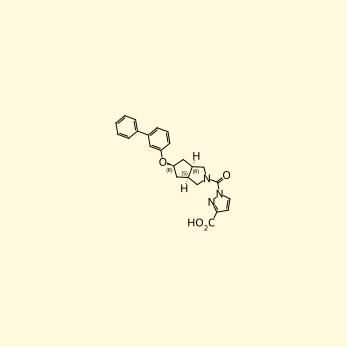 O=C(O)c1ccn(C(=O)N2C[C@H]3C[C@@H](Oc4cccc(-c5ccccc5)c4)C[C@H]3C2)n1